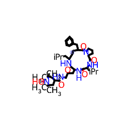 CC(C)CC1/C=C/C(Cc2ccccc2)C(=O)N2CCCC2C(=O)NC(C(C)C)C(=O)NC(CCCNC(=O)C2CC(C)(C)N(O)C(C)(C)C2)C(=O)N1